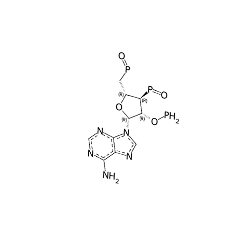 Nc1ncnc2c1ncn2[C@@H]1O[C@H](CP=O)[C@@H](P=O)[C@@H]1OP